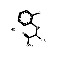 COC(=O)[C@H](C)Nc1ccccc1Cl.Cl